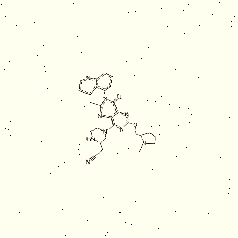 Cc1nc2c(N3CCNC(CC#N)C3)nc(OCC3CCCN3C)nc2c(=O)n1-c1cccc2ncccc12